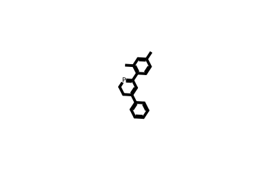 Cc1ccc(C2=PCCC(c3ccccc3)=C2)c(C)c1